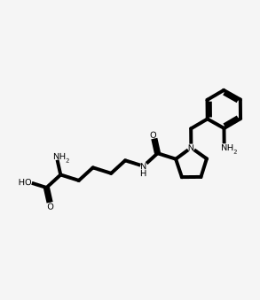 Nc1ccccc1CN1CCCC1C(=O)NCCCCC(N)C(=O)O